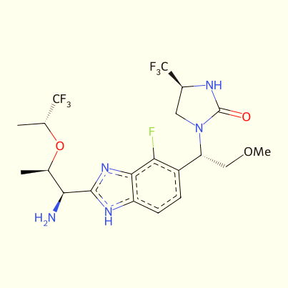 COC[C@H](c1ccc2[nH]c([C@@H](N)[C@@H](C)O[C@H](C)C(F)(F)F)nc2c1F)N1C[C@@H](C(F)(F)F)NC1=O